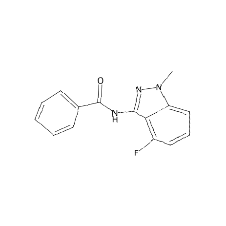 Cn1nc(NC(=O)c2ccccc2)c2c(F)cccc21